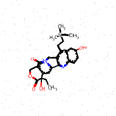 CCC1(O)C(=O)OCc2c1cc1n(c2=O)Cc2c-1nc1ccc(O)cc1c2CC[Si](C)(C)C